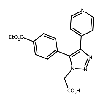 CCOC(=O)c1ccc(-c2c(-c3ccncc3)nnn2CC(=O)O)cc1